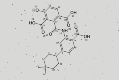 CC1(C)CCC(c2ccc(C(=O)O)c(NC(=O)c3c(C(=O)O)ccc(O)c3C(=O)O)c2)CC1